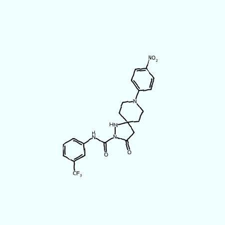 O=C1CC2(CCN(c3ccc([N+](=O)[O-])cc3)CC2)NN1C(=O)Nc1cccc(C(F)(F)F)c1